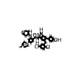 CN1CCN(c2ccc(C(=O)Nc3n[nH]c4cc(-c5ccc(O)cc5)c(Cc5cc(Cl)ccc5Cl)cc34)c(NC3CCOCC3)c2)CC1